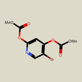 COC(=O)Oc1cc(OC(=O)OC)c(Br)cn1